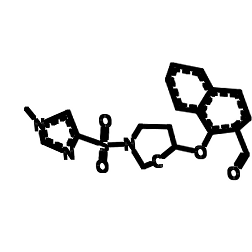 Cn1cnc(S(=O)(=O)N2CCC(Oc3c(C=O)ccc4ccccc34)CC2)c1